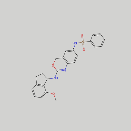 COc1cccc2c1C(NC1=Nc3ccc(NS(=O)(=O)c4ccccc4)cc3CO1)CC2